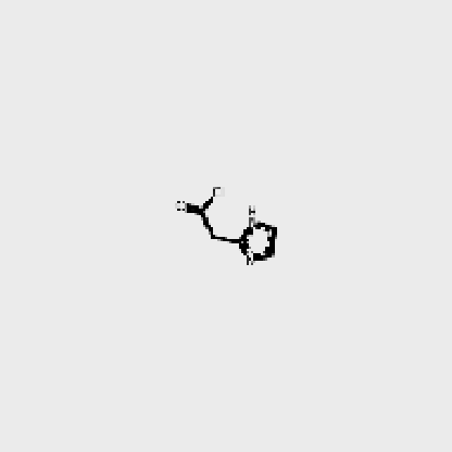 O=C(Cl)Cc1ncc[nH]1